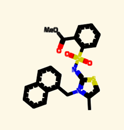 COC(=O)c1ccccc1S(=O)(=O)/N=c1\scc(C)n1Cc1cccc2ccccc12